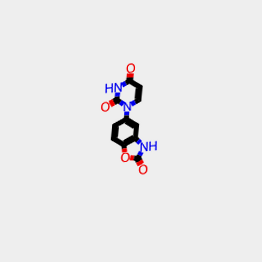 O=c1ccn(-c2ccc3oc(=O)[nH]c3c2)c(=O)[nH]1